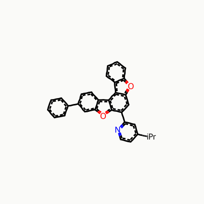 CC(C)c1ccnc(-c2cc3oc4ccccc4c3c3c2oc2cc(-c4ccccc4)ccc23)c1